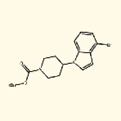 CC(C)(C)OC(=O)N1CCC(n2ccc3c(Br)cccc32)CC1